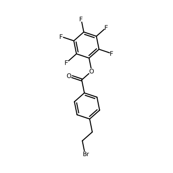 O=C(Oc1c(F)c(F)c(F)c(F)c1F)c1ccc(CCBr)cc1